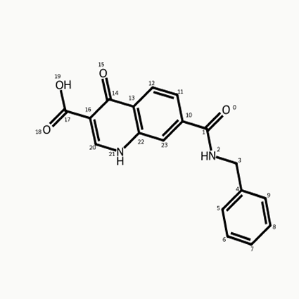 O=C(NCc1ccccc1)c1ccc2c(=O)c(C(=O)O)c[nH]c2c1